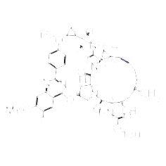 COc1cc2nc(-c3ccc(OC(C)C)cc3)nc(O[C@@H]3C[C@H]4C(=O)N[C@]5(C(=O)NS(=O)(=O)C6CC6)C[C@H]5/C=C\CC[C@@H](C)C[C@@H](C)[C@H](NC(=O)OC(C)(C)C)C(=O)N4C3)c2cc1F